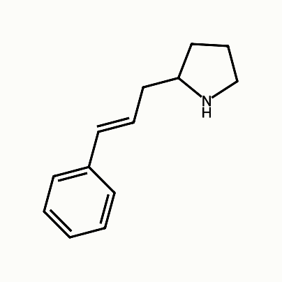 C(=Cc1ccccc1)CC1CCCN1